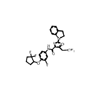 O=C(Nc1ccc(OC2CCCC2(F)F)c(F)c1)c1nc(N2CCc3ccccc32)oc1CC(F)(F)F